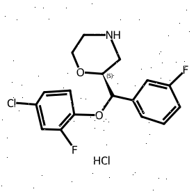 Cl.Fc1cccc(C(Oc2ccc(Cl)cc2F)[C@@H]2CNCCO2)c1